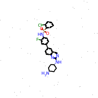 N[C@H]1CC[C@H](Nc2ncc3cc(-c4ccc(NS(=O)(=O)c5ccccc5Cl)c(F)c4)ccc3n2)CC1